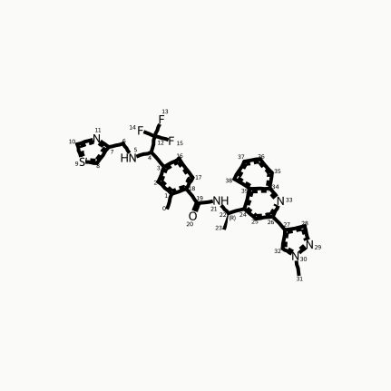 Cc1cc(C(NCc2cscn2)C(F)(F)F)ccc1C(=O)N[C@H](C)c1cc(-c2cnn(C)c2)nc2ccccc12